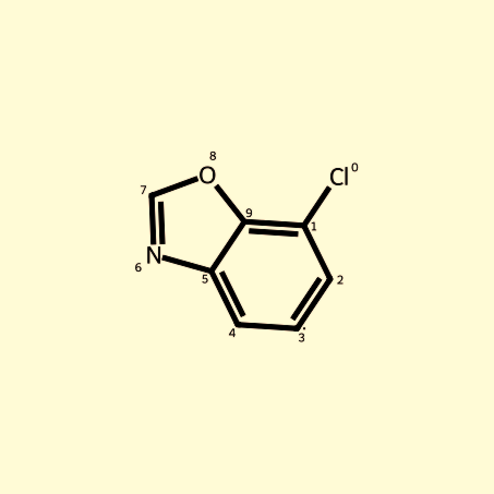 Clc1c[c]cc2ncoc12